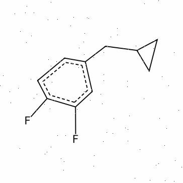 Fc1ccc(CC2CC2)cc1F